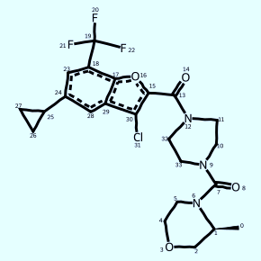 C[C@H]1COCCN1C(=O)N1CCN(C(=O)c2oc3c(C(F)(F)F)cc(C4CC4)cc3c2Cl)CC1